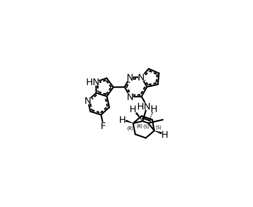 C[C@@H]1[C@@H](Nc2nc(-c3c[nH]c4ncc(F)cc34)nn3cccc23)[C@H]2C=C[C@@H]1CC2